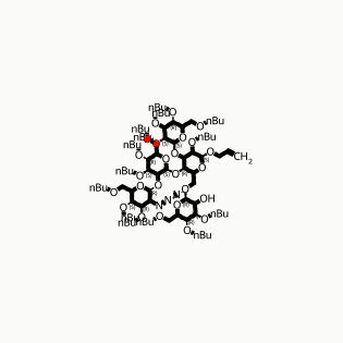 C=CCO[C@H]1OC(CO[C@@H]2OC(COCCCC)[C@@H](OCCCC)[C@H](OCCCC)C2O)[C@@H](O[C@@H]2OC(COCCCC)[C@@H](OCCCC)[C@H](OCCCC)C2O[C@H]2OC(COCCCC)[C@@H](OCCCC)[C@H](OCCCC)C2N=[N+]=[N-])C(O[C@@H]2OC(COCCCC)[C@@H](OCCCC)C(OCCCC)[C@@H]2OCCCC)C1OCCCC